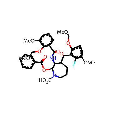 COCOc1ccc(OC)c(F)c1C(=O)C1CCCN(C(=O)O)C(OC(=O)c2ccccc2)C1NC(=O)c1cccc(OC)c1OCOC